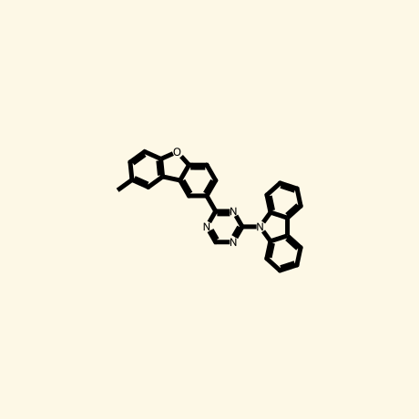 Cc1ccc2oc3ccc(-c4ncnc(-n5c6ccccc6c6ccccc65)n4)cc3c2c1